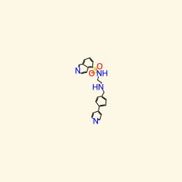 O=S(=O)(NCCNCc1ccc(-c2ccncc2)cc1)c1cccc2cnccc12